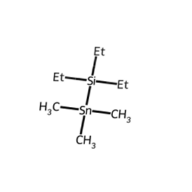 CC[Si](CC)(CC)[Sn]([CH3])([CH3])[CH3]